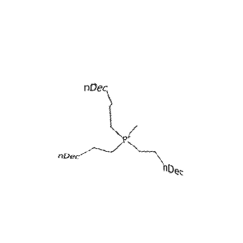 CCCCCCCCCCCC[P+](C)(CCCCCCCCCCCC)CCCCCCCCCCCC